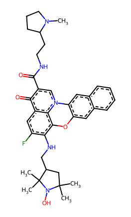 CN1CCCC1CCNC(=O)c1cn2c3c(c(NCC4CC(C)(C)N(O)C4(C)C)c(F)cc3c1=O)Oc1cc3ccccc3cc1-2